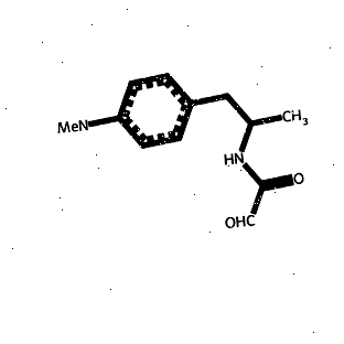 CNc1ccc(CC(C)NC(=O)C=O)cc1